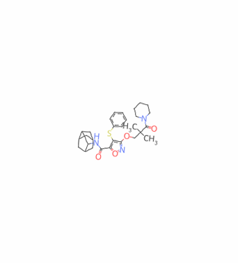 CC(C)(COc1noc(C(=O)NC2C3CC4CC(C3)C2C4)c1Sc1ccccc1)C(=O)N1CCCCC1